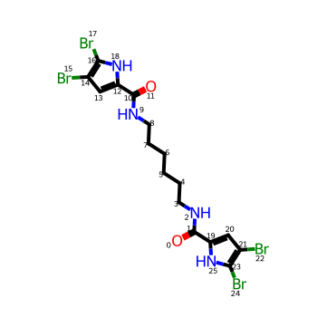 O=C(NCCCCCCNC(=O)c1cc(Br)c(Br)[nH]1)c1cc(Br)c(Br)[nH]1